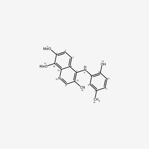 COc1ccc2c(Nc3cc(C)ccc3O)c(C#N)cnc2c1OC